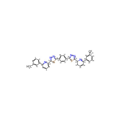 Cc1cccc(-c2cccc(-c3nnc(-c4ccc(-c5nnc(C6CC=CC(c7cccc(C(F)(F)F)c7)=N6)s5)cc4)s3)n2)c1